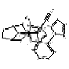 N#Cc1ccnc(N2C3CCC2CN(C(=O)c2ccccc2-n2nccn2)C3)c1Cl